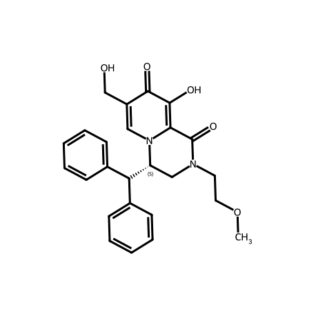 COCCN1C[C@H](C(c2ccccc2)c2ccccc2)n2cc(CO)c(=O)c(O)c2C1=O